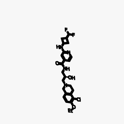 CCOc1ccc2c(c1Cl)CCN(C[C@@H](O)CNC(=O)c1ccnc(NC3CC(C(F)F)C3)c1)C2